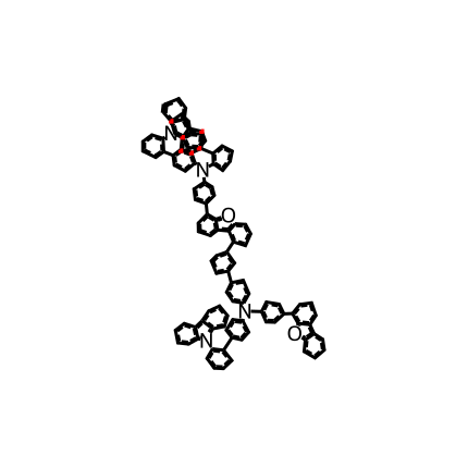 c1ccc2c3ccccc3n(-c3ccccc3-c3ccc(N(c4ccc(-c5cccc6c5oc5cccc(-c7cccc(-c8ccc(N(c9ccc(-c%10ccccc%10-n%10c%11ccccc%11c%11ccccc%11%10)cc9)c9ccc(-c%10cccc%11c%10oc%10ccccc%10%11)cc9)cc8)c7)c56)cc4)c4ccccc4-c4ccc5ccccc5c4)cc3)c2c#1